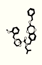 COc1ccccc1CN1CCO[C@@H](C(=O)N(Cc2ccc3c(c2)OCC(OCc2ccccc2)CO3)CC(C)C)C1